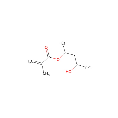 [CH2]CCC(O)CC(CC)OC(=O)C(=C)C